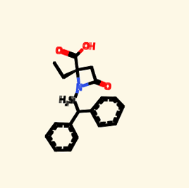 CC[C@@]1(C(=O)O)CC(=O)N1[SiH2]C(c1ccccc1)c1ccccc1